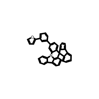 c1cc(-c2ccc3c(c2)-n2c4ccccc4c4cccc(c42)C32c3ccccc3-c3ccccc32)cc(-c2ccco2)c1